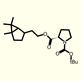 CC(C)(C)OC(=O)N1CCC[C@H]1C(=O)OCCC1CCC2(C)C1C2(C)C